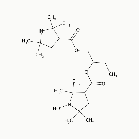 CCC(COC(=O)C1CC(C)(C)NC1(C)C)OC(=O)C1CC(C)(C)N(O)C1(C)C